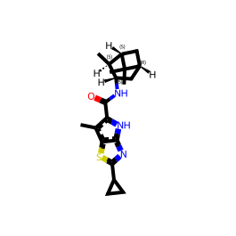 Cc1c(C(=O)N[C@H]2C[C@H]3C[C@@H]([C@@H]2C)C3(C)C)[nH]c2nc(C3CC3)sc12